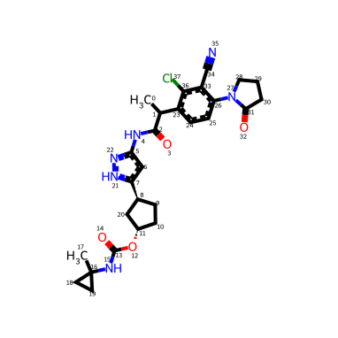 CC(C(=O)Nc1cc([C@H]2CC[C@H](OC(=O)NC3(C)CC3)C2)[nH]n1)c1ccc(N2CCCC2=O)c(C#N)c1Cl